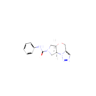 O=C(Nc1ccccc1)N1C[C@@H]2[C@@H](C1)OCc1cnnn12